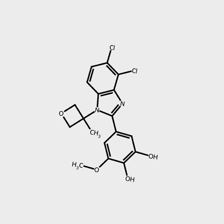 COc1cc(-c2nc3c(Cl)c(Cl)ccc3n2C2(C)COC2)cc(O)c1O